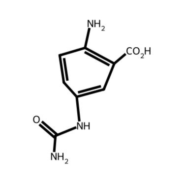 NC(=O)Nc1ccc(N)c(C(=O)O)c1